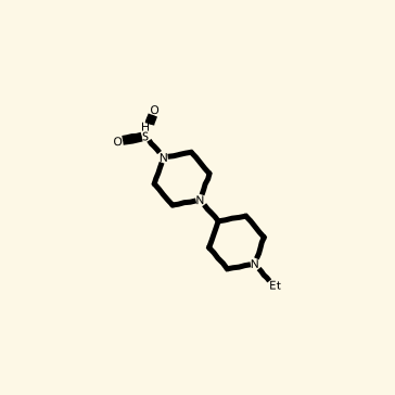 CCN1CCC(N2CCN([SH](=O)=O)CC2)CC1